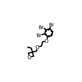 CCC1(COCCOc2ccc(Br)c(Br)c2Br)COC1